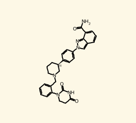 NC(=O)c1cccc2cn(-c3ccc([C@@H]4CCCN(Cc5ccccc5N5CCC(=O)NC5=O)C4)cc3)nc12